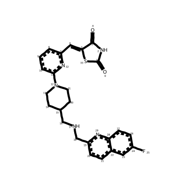 O=C1NC(=O)C(=Cc2cccc(N3CCC(CNCc4ccc5cc(F)ccc5n4)CC3)n2)S1